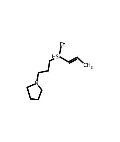 CC=C[SiH](CC)CCCN1CCCC1